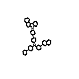 c1ccc(-c2ccc(N(c3ccc(-c4ccc(-n5c6ccccc6c6c7ccccc7ccc65)cc4)cc3)c3cccc(-c4ccc5ccccc5c4)c3)cc2)cc1